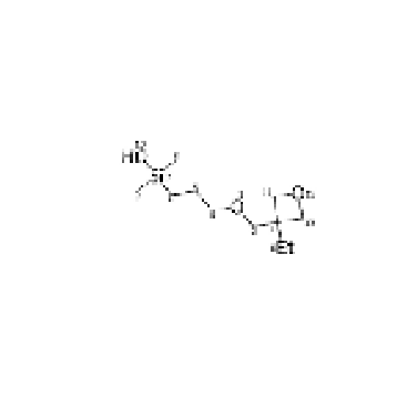 CCC1(COCCC[Si](C)(C)O)COC1